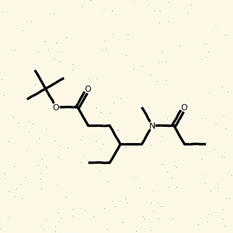 CCC(=O)N(C)CC(CC)CCC(=O)OC(C)(C)C